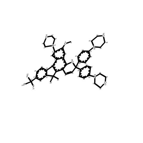 COc1cc2c3c(c4c(c2cc1N1CCOCC1)-c1ccc(C(F)(F)F)cc1C4(C)C)C=CC(c1ccc(N2CCOCC2)cc1)(c1ccc(N2CCOCC2)cc1)O3